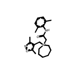 Cc1cccc(C)c1NC(=O)C[N+]1(Cc2c(C)noc2C)CCCCCC1